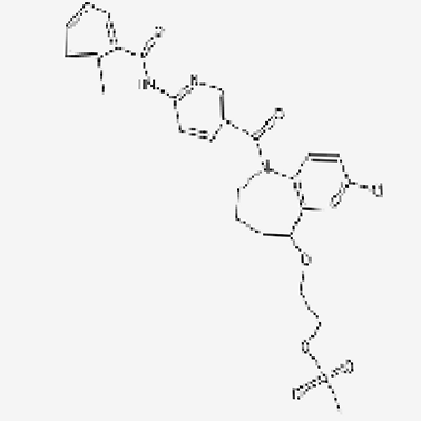 Cc1ccccc1C(=O)Nc1ccc(C(=O)N2CCCC(OCCOS(C)(=O)=O)c3cc(Cl)ccc32)cn1